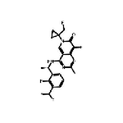 Cc1nc(N[C@H](C)c2cccc(C(F)F)c2F)c2cn(C3(CF)CC3)c(=O)c(F)c2n1